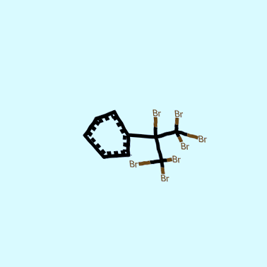 BrC(Br)(Br)C(Br)(c1[c]cccc1)C(Br)(Br)Br